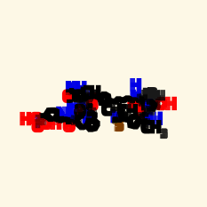 Cc1cc(CO[C@H](C)[C@H](CCC(N)=O)NC(=O)[C@@H]2Cc3cccc4c3N2C(=O)[C@@H](NC(=O)c2cc3cc(CP(=O)(O)O)ccc3[nH]2)CC4)ccc1CCCCC(=O)N[C@H](C(=O)N1C[C@H](O)C[C@H]1C(=O)N[C@@H](C)c1ccc(-c2scnc2C)cc1)C(C)(C)C